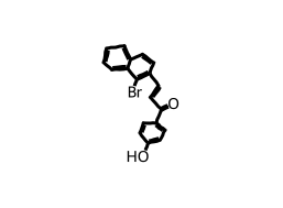 O=C(C=Cc1ccc2ccccc2c1Br)c1ccc(O)cc1